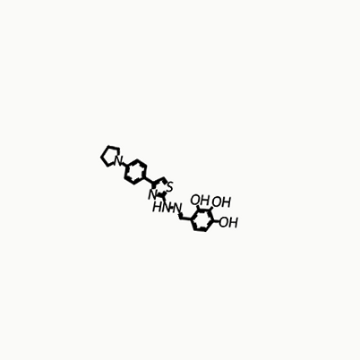 Oc1ccc(/C=N/Nc2nc(-c3ccc(N4CCCC4)cc3)cs2)c(O)c1O